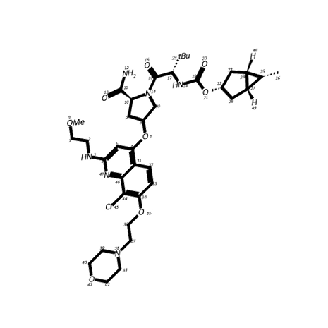 COCCNc1cc(OC2C[C@@H](C(N)=O)N(C(=O)[C@@H](NC(=O)O[C@@H]3C[C@@H]4[C@H](C)[C@@H]4C3)C(C)(C)C)C2)c2ccc(OCCN3CCOCC3)c(Cl)c2n1